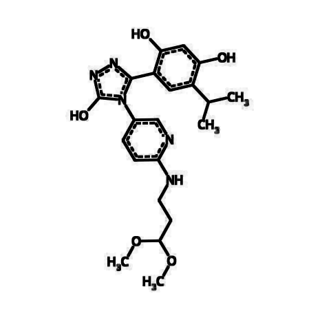 COC(CCNc1ccc(-n2c(O)nnc2-c2cc(C(C)C)c(O)cc2O)cn1)OC